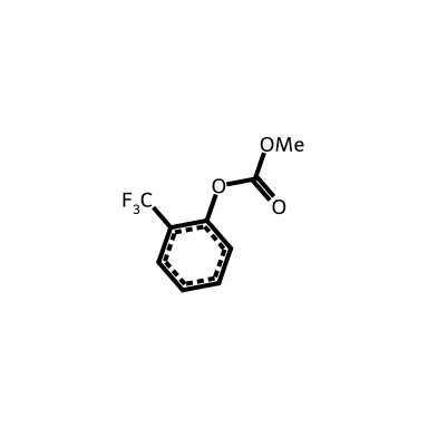 COC(=O)Oc1ccccc1C(F)(F)F